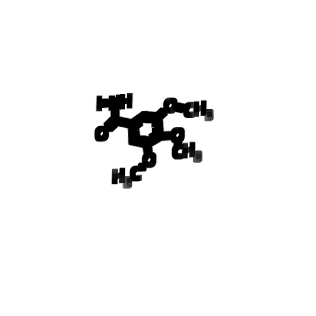 COc1cc(C(=O)NI)cc(OC)c1OC